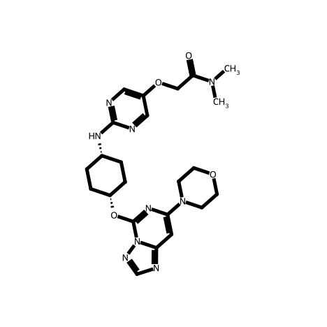 CN(C)C(=O)COc1cnc(N[C@H]2CC[C@@H](Oc3nc(N4CCOCC4)cc4ncnn34)CC2)nc1